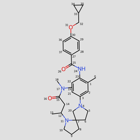 Cc1cc(N2CCC3(CCCN3C(C)CC(=O)N(C)C)C2)ccc1NC(=O)c1ccc(OCC2CC2)cc1